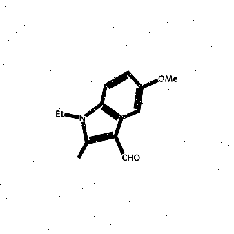 CCn1c(C)c(C=O)c2cc(OC)ccc21